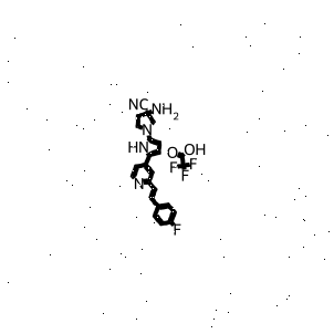 N#C[C@]1(N)CCN(c2ccc(-c3ccnc(C=Cc4ccc(F)cc4)c3)[nH]2)C1.O=C(O)C(F)(F)F